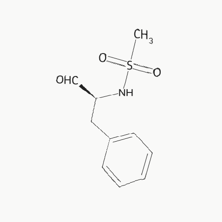 CS(=O)(=O)N[C@H](C=O)Cc1ccccc1